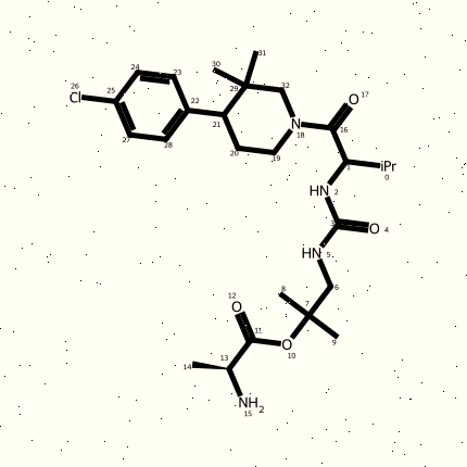 CC(C)C(NC(=O)NCC(C)(C)OC(=O)[C@H](C)N)C(=O)N1CCC(c2ccc(Cl)cc2)C(C)(C)C1